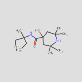 CCC(C)(CC)NC(=O)C1(O)CC(C)(C)NC(C)(C)C1